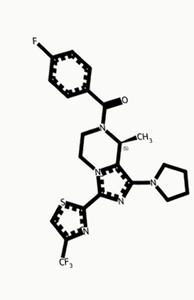 C[C@H]1c2c(N3CCCC3)nc(-c3nc(C(F)(F)F)cs3)n2CCN1C(=O)c1ccc(F)cc1